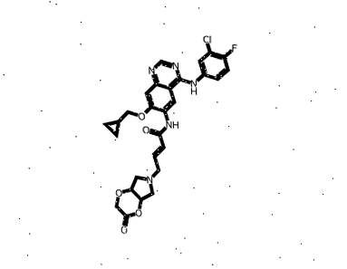 O=C(/C=C/CN1CC2OCC(=O)OC2C1)Nc1cc2c(Nc3ccc(F)c(Cl)c3)ncnc2cc1OCC1CC1